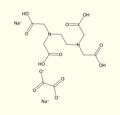 O=C(O)CN(CCN(CC(=O)O)CC(=O)O)CC(=O)O.O=C([O-])C(=O)[O-].[Na+].[Na+]